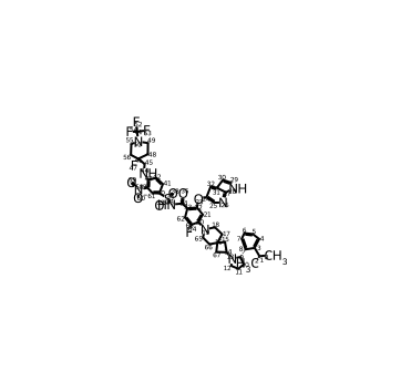 CC(C)c1ccccc1[C@@H]1CCCN1C1CC2(CCN(c3cc(Oc4cnc5[nH]ccc5c4)c(C(=O)NS(=O)(=O)c4ccc(NCC5(F)CCN(C(F)(F)F)CC5)c([N+](=O)[O-])c4)cc3F)CC2)C1